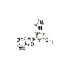 Cc1cc(C(=O)N[C@H]2COCC(F)(F)C2)nc(-n2ccnc2)c1